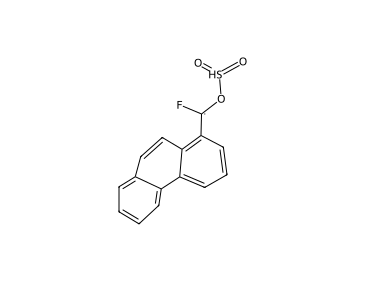 O=[SH](=O)O[C](F)c1cccc2c1ccc1ccccc12